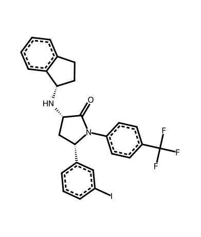 O=C1[C@@H](N[C@H]2CCc3ccccc32)C[C@@H](c2cccc(I)c2)N1c1ccc(C(F)(F)F)cc1